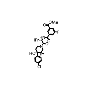 COC(=O)c1cc(F)cc(C(=O)N[C@@H](C(=O)N2CC[C@](O)(c3ccc(Cl)cc3)C(C)(C)C2)C(C)C)c1